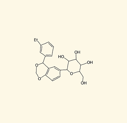 CCc1cccc(C2OCOc3ccc(C4OC(CO)C(O)C(O)C4O)cc32)c1